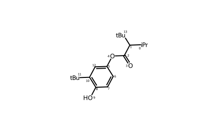 CC(C)C(C(=O)Oc1ccc(O)c(C(C)(C)C)c1)C(C)(C)C